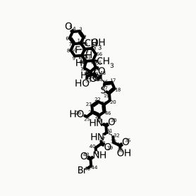 C[C@]12C=CC(=O)C=C1CC[C@H]1[C@@H]3C[C@H]4O[C@@H](c5ccc(Cc6ccc(CO)c(NC(=O)[C@H](CCC(=O)O)NC(=O)CNC(=O)CBr)c6)s5)O[C@@]4(C(=O)CO)[C@@]3(C)C[C@H](O)[C@@]12F